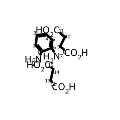 Nc1ccccc1N.O=C(O)CCC(=O)O.O=C(O)CCC(=O)O